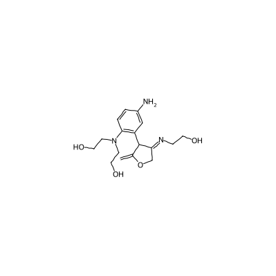 C=C1OCC(=NCCO)C1c1cc(N)ccc1N(CCO)CCO